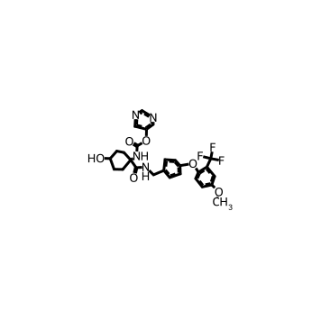 COc1ccc(Oc2ccc(CNC(=O)C3(NC(=O)Oc4cncnc4)CCC(O)CC3)cc2)c(C(F)(F)F)c1